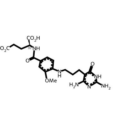 COc1cc(C(=O)N[C@@H](CCC(=O)O)C(=O)O)ccc1NCCCc1c(N)nc(N)[nH]c1=O